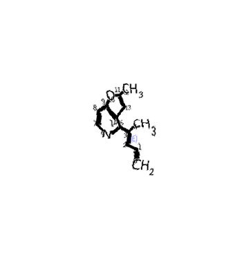 C=C/C=C(\C)c1nccc2oc(C)cc12